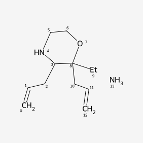 C=CCC1NCCOC1(CC)CC=C.N